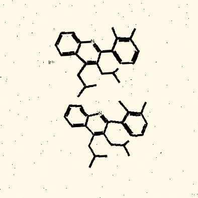 Cc1cccc(-c2nc3ccccc3c(CC(C)C)c2CC(C)C)c1C.Cc1cccc(-c2nc3ccccc3c(CC(C)C)c2CC(C)C)c1C.[Ir+3]